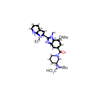 CCn1c(-c2nc3cc(C(=O)N4CCCC(N(C(=O)O)C(C)(C)C)C4)cc(OC)c3n2C)cc2cccnc21